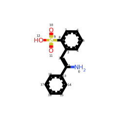 NC(=Cc1ccccc1S(=O)(=O)O)c1ccccc1